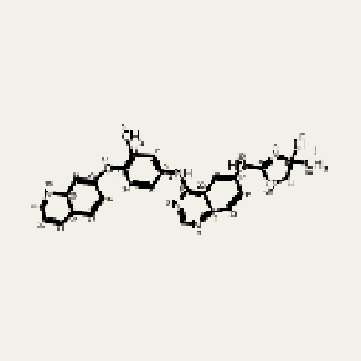 Cc1cc(Nc2ncnc3ccc(NC4=NC(C)(C)CO4)cc23)ccc1OC1=CC2N=CC=CC2C=C1